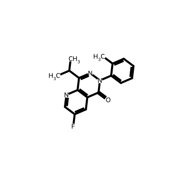 Cc1ccccc1-n1nc(C(C)C)c2ncc(F)cc2c1=O